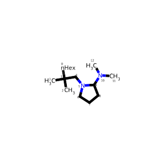 CCCCCCC(C)(C)CN1CCCC1N(C)C